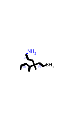 B/C=C/C(C)(C/C=C\N)C(=C)/C=C\C